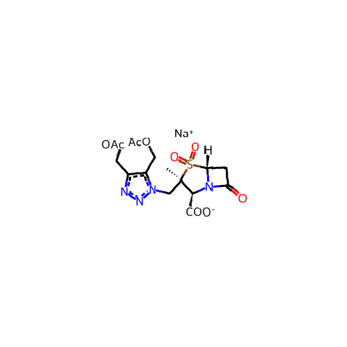 CC(=O)OCc1nnn(C[C@]2(C)[C@H](C(=O)[O-])N3C(=O)C[C@H]3S2(=O)=O)c1COC(C)=O.[Na+]